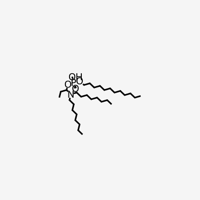 CCCCCCCCCCCCOP(=O)(O)OC(CC)N(CCCCCCCC)CCCCCCCC